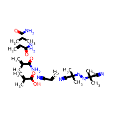 C=C(C)C(=O)O.C=C(C)C(N)=O.C=CC#N.C=CC(N)=O.CC(C)(C#N)N=NC(C)(C)C#N.CCC.NC=O